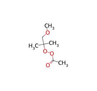 COCC(C)(C)OOC(C)=O